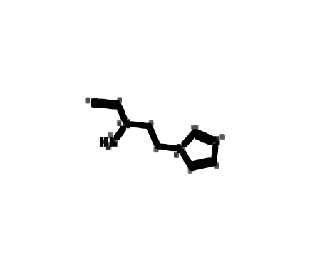 NN(C=O)CCn1ccnc1